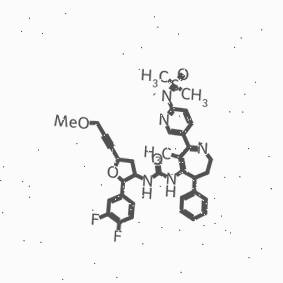 COCC#CC1CC(NC(=O)NC2=C(C)C(c3ccc(N=S(C)(C)=O)nc3)=NCCC2c2ccccc2)C(c2ccc(F)c(F)c2)O1